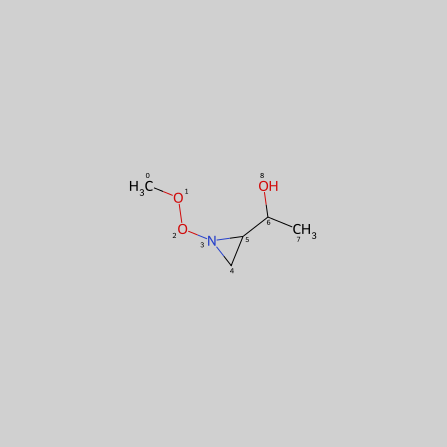 COON1CC1C(C)O